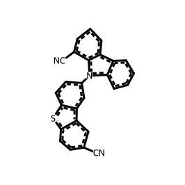 N#Cc1ccc2sc3ccc(-n4c5ccccc5c5cccc(C#N)c54)cc3c2c1